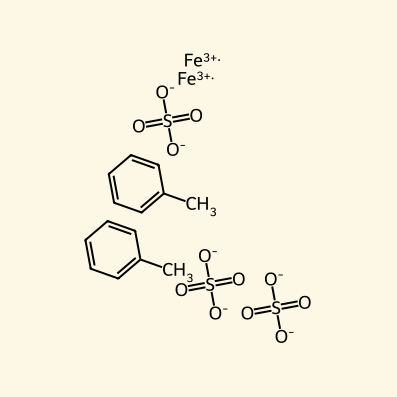 Cc1ccccc1.Cc1ccccc1.O=S(=O)([O-])[O-].O=S(=O)([O-])[O-].O=S(=O)([O-])[O-].[Fe+3].[Fe+3]